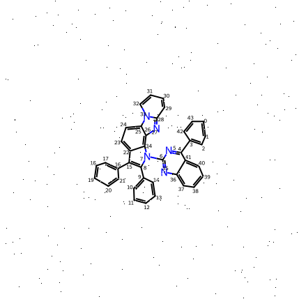 c1ccc(-c2nc(-n3c(-c4ccccc4)c(-c4ccccc4)c4ccc5c(nc6ccccn65)c43)nc3ccccc23)cc1